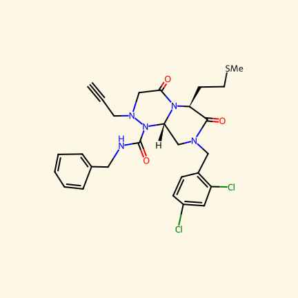 C#CCN1CC(=O)N2[C@@H](CCSC)C(=O)N(Cc3ccc(Cl)cc3Cl)C[C@@H]2N1C(=O)NCc1ccccc1